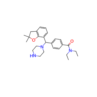 CCN(CC)C(=O)c1ccc(C(c2cccc3c2OC(C)(C)C3)N2CCNCC2)cc1